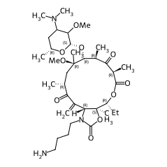 C=C1C(=O)[C@H](C)C[C@@](C)(OC)[C@H](O[C@@H]2O[C@H](C)CC(N(C)C)C2OC)[C@@H](C)C(=O)[C@@H](C)C(=O)O[C@H](CC)[C@@]2(C)OC(=O)N(CCCCN)[C@H]12